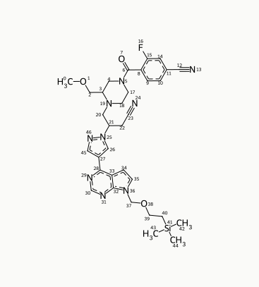 COCC1CN(C(=O)c2ccc(C#N)cc2F)CCN1CC(CC#N)n1cc(-c2ncnc3c2ccn3COCC[Si](C)(C)C)cn1